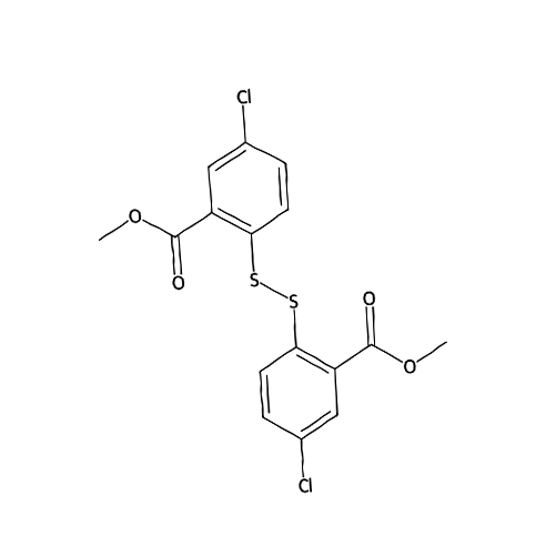 COC(=O)c1cc(Cl)ccc1SSc1ccc(Cl)cc1C(=O)OC